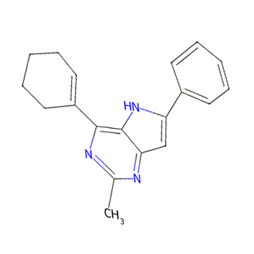 Cc1nc(C2=CCCCC2)c2[nH]c(-c3ccccc3)cc2n1